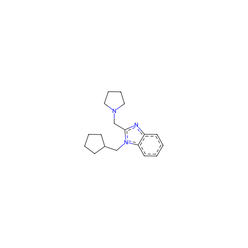 c1ccc2c(c1)nc(CN1CCCC1)n2CC1CCCC1